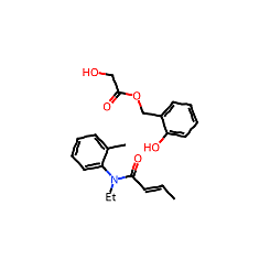 C/C=C/C(=O)N(CC)c1ccccc1C.O=C(CO)OCc1ccccc1O